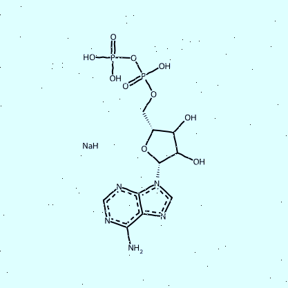 Nc1ncnc2c1ncn2[C@@H]1O[C@H](COP(=O)(O)OP(=O)(O)O)C(O)C1O.[NaH]